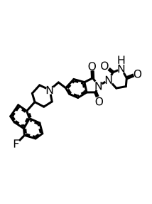 O=C1CCN(N2C(=O)c3ccc(CN4CCC(c5cccc6c(F)cccc56)CC4)cc3C2=O)C(=O)N1